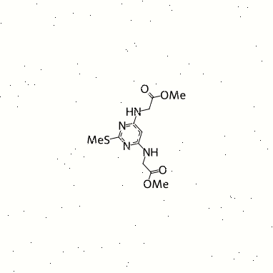 COC(=O)CNc1cc(NCC(=O)OC)nc(SC)n1